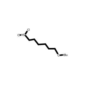 CC(C)(C)OCCCCCC[SiH](Cl)Cl